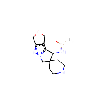 CC(C)(C)[S@@+]([O-])N[C@@H]1c2c3c(nn2CC12CCNCC2)COC3